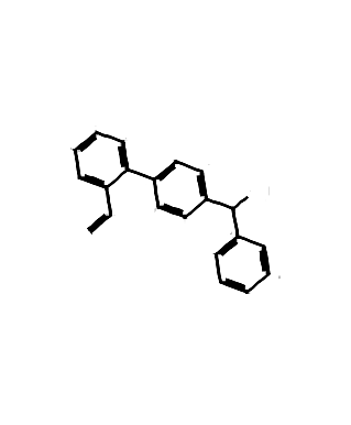 C=Cc1ccccc1-c1ccc(C(O)c2ccccc2)cc1